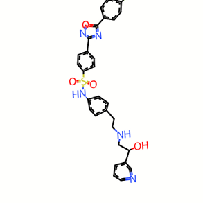 O=S(=O)(Nc1ccc(CCNCC(O)c2cccnc2)cc1)c1ccc(-c2noc(-c3ccc(F)cc3)n2)cc1